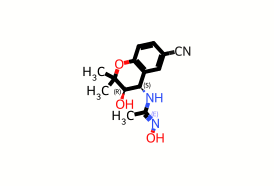 C/C(=N\O)N[C@H]1c2cc(C#N)ccc2OC(C)(C)[C@@H]1O